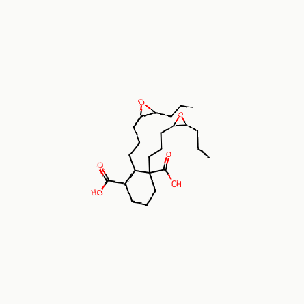 CCCC1OC1CCCC1C(C(=O)O)CCCC1(CCCC1OC1CCC)C(=O)O